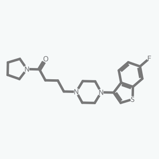 O=C(CCCN1CCN(c2csc3cc(F)ccc23)CC1)N1CCCC1